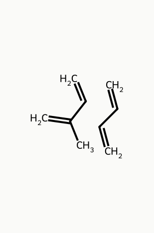 C=CC(=C)C.C=CC=C